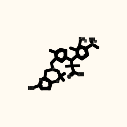 Cc1ccc(C(c2ccc(N(C)N)c(N)c2C)C(C)(C)C(=O)O)cc1CN1Cc2nc(O)ccc2OC(C)(C)C1